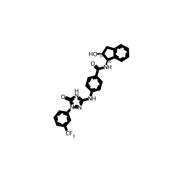 O=C(N[C@@H]1c2ccccc2C[C@@H]1O)c1ccc(Nc2nn(-c3cccc(C(F)(F)F)c3)c(=O)[nH]2)cc1